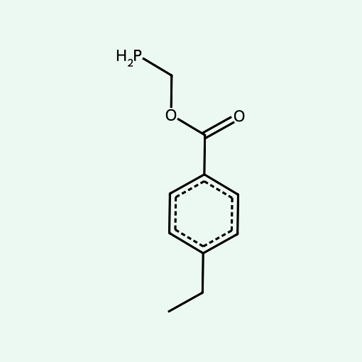 CCc1ccc(C(=O)OCP)cc1